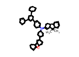 CC1(C)c2ccccc2-c2ccc(N(c3ccc(-c4cc(-c5ccccc5)cc(-c5ccccc5)c4)cc3)c3ccc(-c4ccc5oc6ccccc6c5c4)cc3)cc21